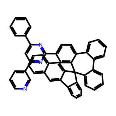 c1ccc(-c2cc(-c3cccnc3)nc(-c3ccc4c(c3)C3(c5ccccc5-c5ccccc5-4)c4ccccc4-c4cc5ccccc5cc43)n2)cc1